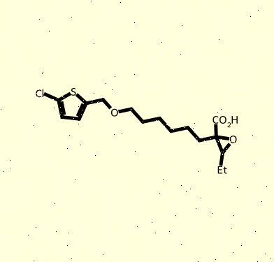 CCC1OC1(CCCCCCOCc1ccc(Cl)s1)C(=O)O